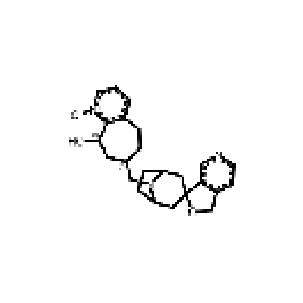 [O-][n+]1cccc2c1[C@H](O)C[C@H](CN1C3CCC1CC1(C3)OCc3ccncc31)CC2